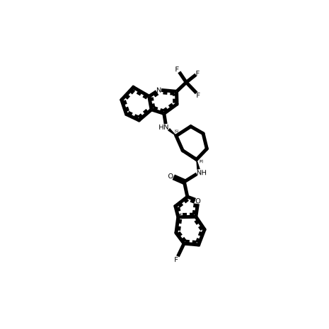 O=C(N[C@@H]1CCC[C@H](Nc2cc(C(F)(F)F)nc3ccccc23)C1)c1cc2cc(F)ccc2o1